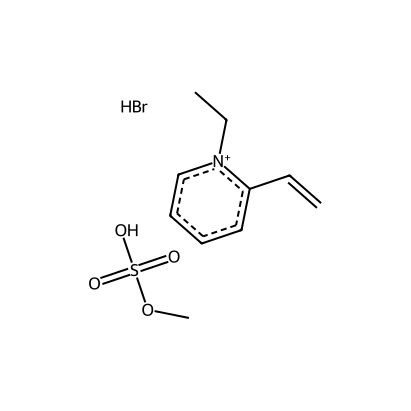 Br.C=Cc1cccc[n+]1CC.COS(=O)(=O)O